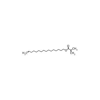 C=CCCCCCCCCCCCCCCOC(=O)C(=C)C